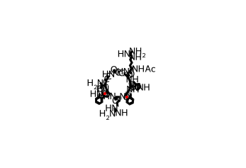 CC(=O)N[C@@H](CCCNC(=N)N)C(=O)N[C@H]1CCC(=O)NCCCC(C(N)=O)NC(=O)[C@H](Cc2c[nH]c3ccccc23)NC(=O)[C@H](CCCNC(=N)N)NC(=O)[C@@H](Cc2ccccc2)NC(=O)[C@H](Cc2c[nH]cn2)NC1=O